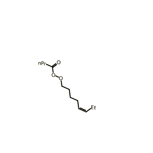 CC/C=C\CCCCOOC(=O)CCC